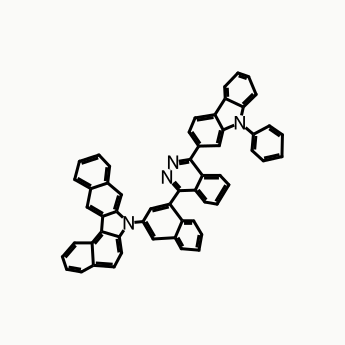 c1ccc(-n2c3ccccc3c3ccc(-c4nnc(-c5cc(-n6c7cc8ccccc8cc7c7c8ccccc8ccc76)cc6ccccc56)c5ccccc45)cc32)cc1